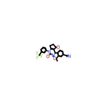 CC(=O)c1cc(C#N)ccc1C1C2=C(CCC2=O)N(c2cccc(C(F)(F)F)c2)C(=O)N1C